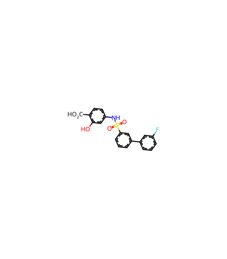 O=C(O)c1ccc(NS(=O)(=O)c2cccc(-c3cccc(F)c3)c2)cc1O